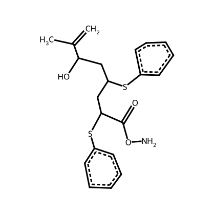 C=C(C)C(O)CC(CC(Sc1ccccc1)C(=O)ON)Sc1ccccc1